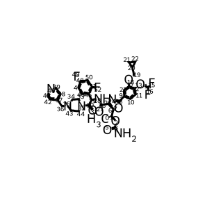 C[C@H](OC(N)=O)c1oc(-c2ccc(OC(F)F)c(OCC3CC3)c2)nc1C(=O)NC(C(=O)N1CCN(Cc2ccncc2)CC1)c1ccc(F)cc1F